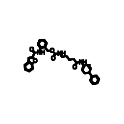 O=C(CCCCNC(=O)OCc1ccccc1NC(=O)c1cc2ccccc2o1)NC1=CCC(c2ccccc2)C=[C]1